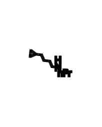 [CH2]CCNCCCCC1CC1